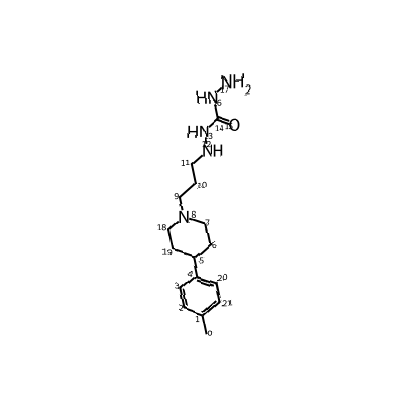 Cc1ccc(C2CCN(CCCNNC(=O)NN)CC2)cc1